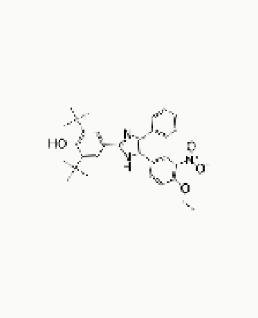 CCOc1ccc(-c2[nH]c(-c3cc(C(C)(C)C)c(O)c(C(C)(C)C)c3)nc2-c2ccccc2)cc1[N+](=O)[O-]